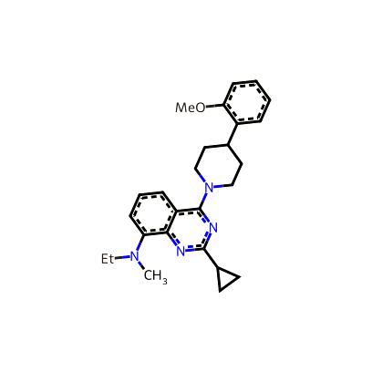 CCN(C)c1cccc2c(N3CCC(c4ccccc4OC)CC3)nc(C3CC3)nc12